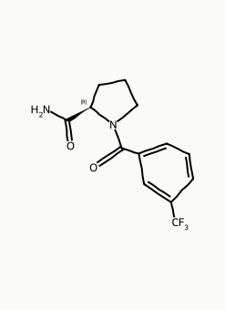 NC(=O)[C@H]1CCCN1C(=O)c1cccc(C(F)(F)F)c1